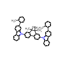 Cc1ccccc1-c1ccc2c3ccccc3n(-c3ccc4c(c3)C(C)(C)C(C)(C)c3cc(-n5c6ccccc6c6ccc(-c7ccccc7C)cc65)ccc3-4)c2c1